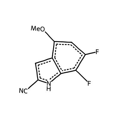 COc1cc(F)c(F)c2[nH]c(C#N)cc12